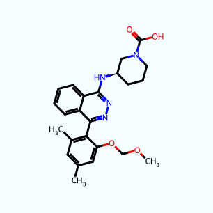 COCOc1cc(C)cc(C)c1-c1nnc(N[C@@H]2CCCN(C(=O)O)C2)c2ccccc12